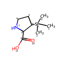 C[Si](C)(C)C1CCNC1C(=O)O